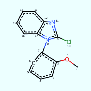 COc1ccccc1-n1c(Cl)nc2ccccc21